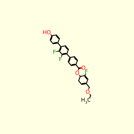 CCOCC1=CCC(OC(=O)c2ccc(-c3ccc(-c4ccc(O)cc4)c(F)c3F)cc2)C(F)=C1